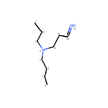 CCCCN(CCC)CCC=N